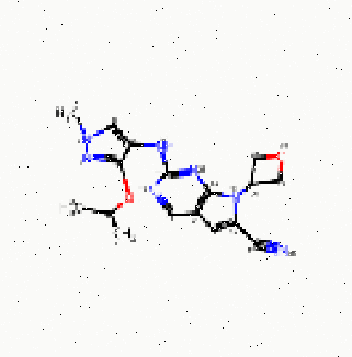 CC(C)Oc1nn(C)cc1Nc1ncc2cc(C#N)n(C3COC3)c2n1